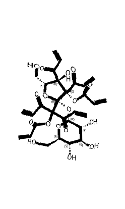 C=CC(=O)OC(C(=O)C=C)(C(=O)C=C)[C@@]1(O[C@H]2O[C@H](CO)[C@@H](O)[C@H](O)[C@H]2O)O[C@H](CO)[C@](O)(C(=O)C=C)[C@@]1(OC(=O)C=C)C(=O)C=C